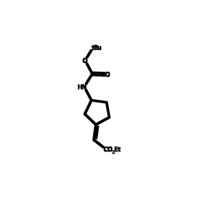 CCOC(=O)/C=C1\CCC(NC(=O)OC(C)(C)C)C1